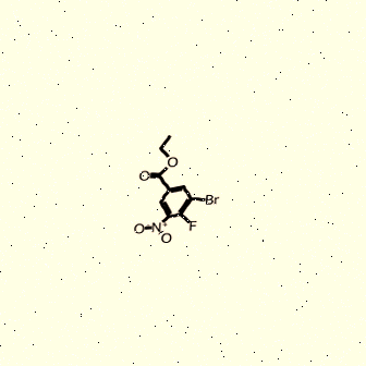 CCOC(=O)c1cc(Br)c(F)c([N+](=O)[O-])c1